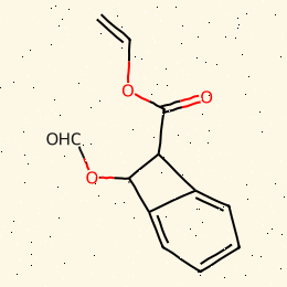 C=COC(=O)C1[C](OC=O)c2ccccc21